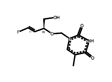 Cc1cn(CO[C@@H](/C=C/F)CO)c(=O)[nH]c1=O